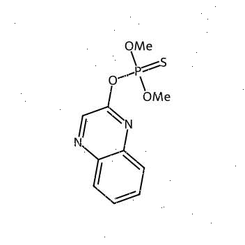 COP(=S)(OC)Oc1cnc2ccccc2n1